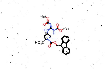 CC(C)(C)OC(=O)/N=C(/NC(=O)OC(C)(C)C)N[C@@H]1C[C@@H](C(=O)O)N(C(=O)OCC2c3ccccc3-c3ccccc32)C1